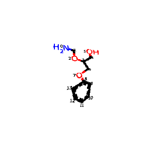 NCOC(CO)COc1ccccc1